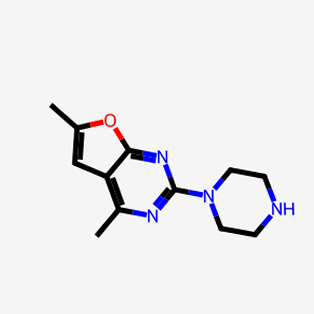 Cc1cc2c(C)nc(N3CCNCC3)nc2o1